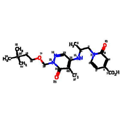 CC(Cn1ccc(C(=O)O)cc1=O)Nc1cnn(COCC[Si](C)(C)C)c(=O)c1C(F)(F)F